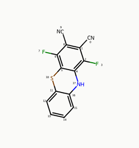 N#Cc1c(F)c2c(c(F)c1C#N)Sc1ccccc1N2